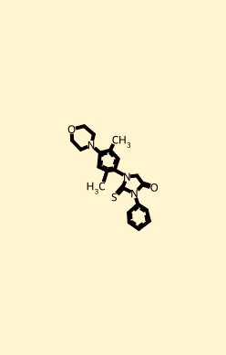 Cc1cc(N2CC(=O)N(c3ccccc3)C2=S)c(C)cc1N1CCOCC1